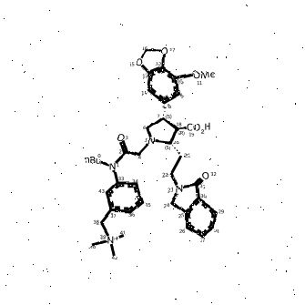 CCCCN(C(=O)CN1C[C@H](c2cc(OC)c3c(c2)OCO3)[C@@H](C(=O)O)[C@@H]1CCN1Cc2ccccc2C1=O)c1cccc(C[N+](C)(C)C)c1